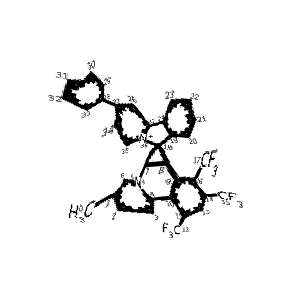 Cc1ccc2[n+](c1)C1C(c3c-2c(C(F)(F)F)cc(C(F)(F)F)c3C(F)(F)F)C12c1ccccc1-c1cc(-c3ccccc3)cc[n+]12